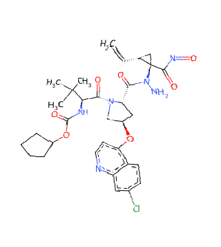 C=C[C@@H]1C[C@@]1(C(=O)N=O)N(N)C(=O)[C@@H]1C[C@@H](Oc2ccnc3cc(Cl)ccc23)CN1C(=O)[C@@H](NC(=O)OC1CCCC1)C(C)(C)C